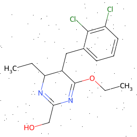 CCOC1=NC(CO)=NC(CC)C1Cc1cccc(Cl)c1Cl